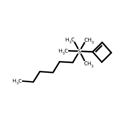 CCCCCCS(C)(C)(C)(C)C1=CCC1